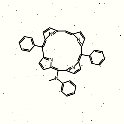 CN(C1=C2C=CC(=N2)C(c2ccccc2)=C2C=CC(=N2)C=C2C=CC(=N2)C(c2ccccc2)=C2C=CC1=N2)c1ccccc1